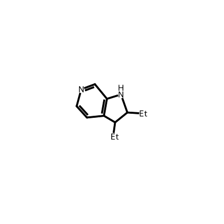 CCC1Nc2cnccc2C1CC